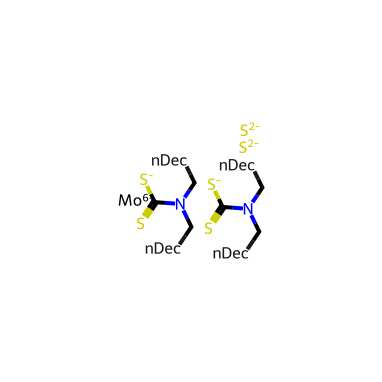 CCCCCCCCCCCN(CCCCCCCCCCC)C(=S)[S-].CCCCCCCCCCCN(CCCCCCCCCCC)C(=S)[S-].[Mo+6].[S-2].[S-2]